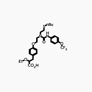 CCCCSCCN(CCOc1ccc(CC(OCC)C(=O)O)cc1)C(=O)Nc1ccc(OC(F)(F)F)cc1